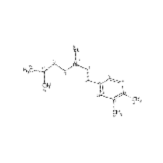 CCN(CCc1ccc(C)c(C)c1)CCC(C)O